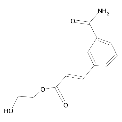 NC(=O)c1cccc(C=CC(=O)OCCO)c1